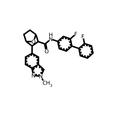 Cn1cc2cc(C3C4CCC(O4)C3C(=O)Nc3ccc(-c4ccccc4F)c(F)c3)ccc2n1